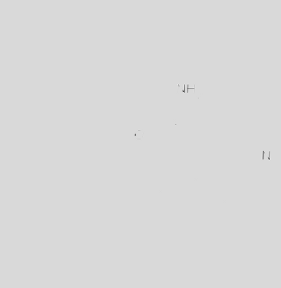 C/C(=C\c1ccccc1)c1ccncc1C(N)=O